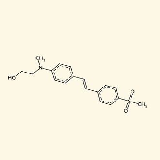 CN(CCO)c1ccc(/C=C/c2ccc(S(C)(=O)=O)cc2)cc1